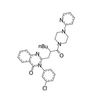 CCCCC(Cc1nc2ccccc2c(=O)n1-c1cccc(Cl)c1)C(=O)N1CCN(c2ccccn2)CC1